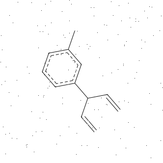 C=CC(C=C)c1cccc(C)c1